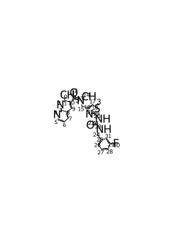 Cc1nc2ncccc2cc1C(=O)N(C)Cc1csc(NC(=O)NCc2cccc(F)c2)n1